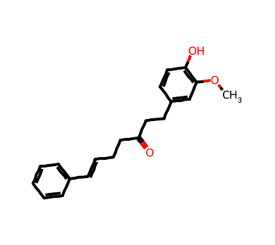 COc1cc(CCC(=O)CC/C=C/c2ccccc2)ccc1O